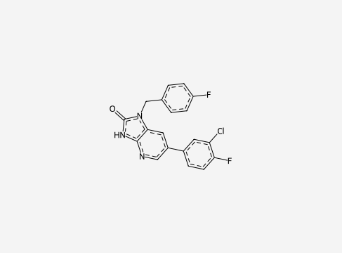 O=c1[nH]c2ncc(-c3ccc(F)c(Cl)c3)cc2n1Cc1ccc(F)cc1